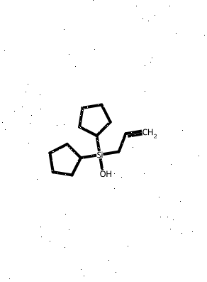 C=CC[Si](O)(C1CCCC1)C1CCCC1